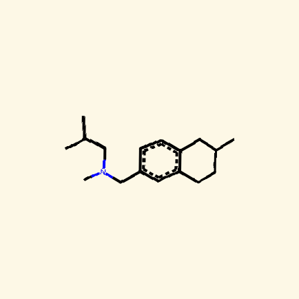 CC(C)CN(C)Cc1ccc2c(c1)CCC(C)C2